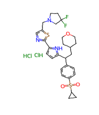 Cl.Cl.O=S(=O)(c1ccc(C(CC2CCOCC2)c2ccc(-c3ncc(CN4CCC(F)(F)C4)s3)[nH]2)cc1)C1CC1